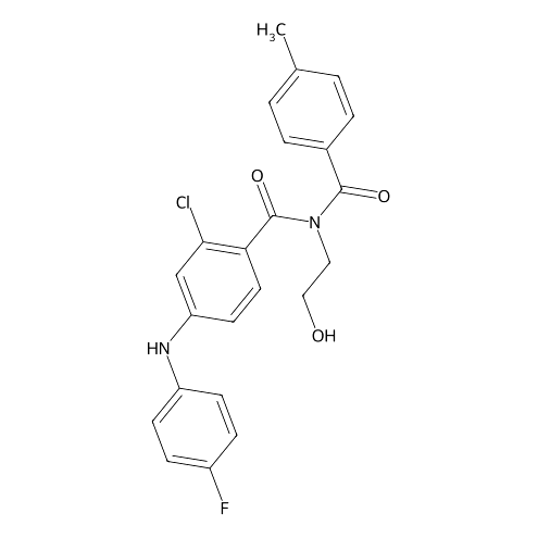 Cc1ccc(C(=O)N(CCO)C(=O)c2ccc(Nc3ccc(F)cc3)cc2Cl)cc1